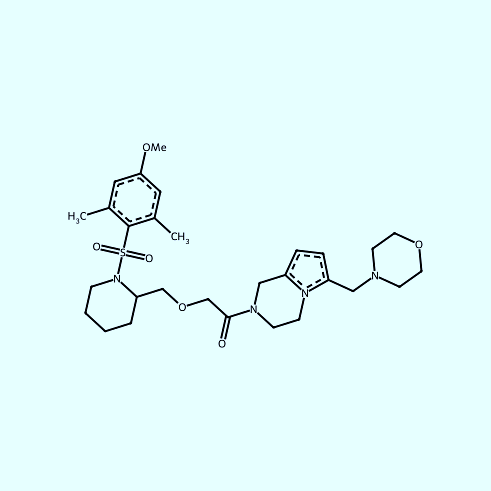 COc1cc(C)c(S(=O)(=O)N2CCCCC2COCC(=O)N2CCn3c(CN4CCOCC4)ccc3C2)c(C)c1